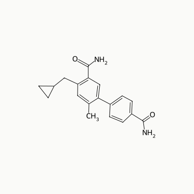 Cc1cc(CC2CC2)c(C(N)=O)cc1-c1ccc(C(N)=O)cc1